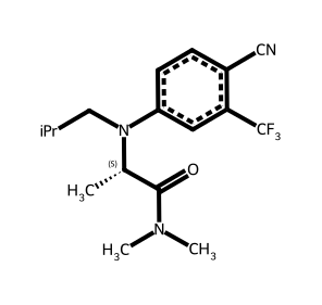 CC(C)CN(c1ccc(C#N)c(C(F)(F)F)c1)[C@@H](C)C(=O)N(C)C